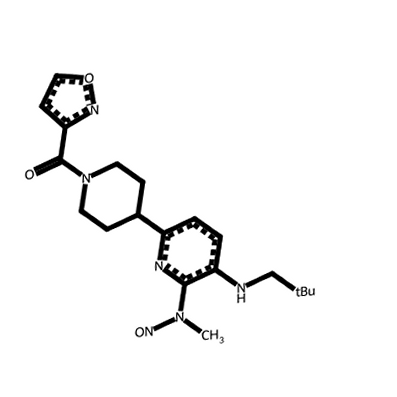 CN(N=O)c1nc(C2CCN(C(=O)c3ccon3)CC2)ccc1NCC(C)(C)C